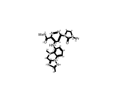 CNC(=O)c1nnc(N2CCN(C(C)C)C2=O)cc1Nc1cccc2c1N(C)Cc1nc(C)nn1-2